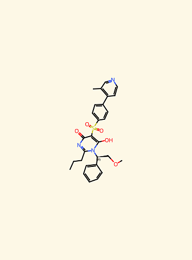 CCCc1nc(=O)c(S(=O)(=O)c2ccc(-c3ccncc3C)cc2)c(O)n1[C@@H](COC)c1ccccc1